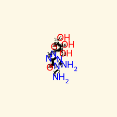 NCCn1c(N)nc2c(ncn2[C@@H]2O[C@H](CO)[C@@H](O)[C@H]2O)c1=O